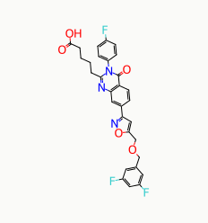 O=C(O)CCCCc1nc2cc(-c3cc(COCc4cc(F)cc(F)c4)on3)ccc2c(=O)n1-c1ccc(F)cc1